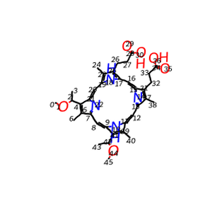 COC(C)C1=C(C)c2cc3[nH]c(cc4nc(cc5[nH]c(cc1n2)c(C)c5CCC(=O)O)C(CCC(=O)O)=C4C)c(C)c3C(C)OC